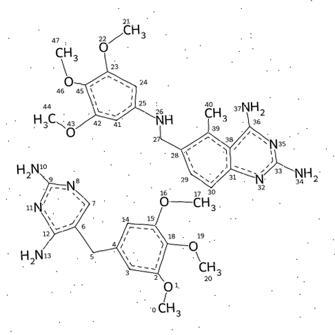 COc1cc(Cc2cnc(N)nc2N)cc(OC)c1OC.COc1cc(NCc2ccc3nc(N)nc(N)c3c2C)cc(OC)c1OC